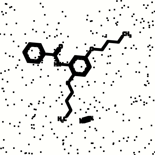 CCCCOc1ccc(OCCCC)c(NC(=O)c2ccccc2)c1.N#N